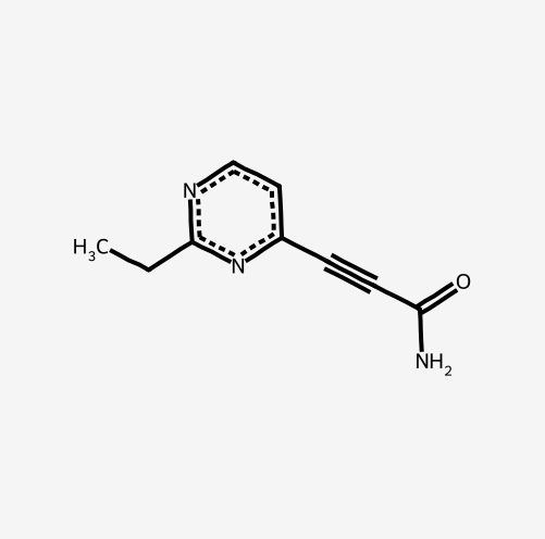 CCc1nccc(C#CC(N)=O)n1